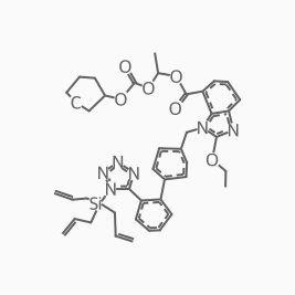 C=CC[Si](CC=C)(CC=C)n1nnnc1-c1ccccc1-c1ccc(Cn2c(OCC)nc3cccc(C(=O)OC(C)OC(=O)OC4CCCCC4)c32)cc1